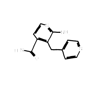 NC(=O)c1ccnc(N)c1Cc1ccncc1